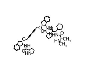 CN[C@@H](C)C(=O)N[C@H](C(=O)N1CCC[C@H]1C(=O)N[C@H]1c2ccccc2C[C@H]1OCC#CC#CCO[C@@H]1Cc2ccccc2[C@@H]1NC(=O)C1CCCN1)C1CCCCC1